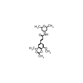 COc1cc(C=CC(=O)NN2CC(C)OC(C)C2)cc(OC)c1OC(C)=O